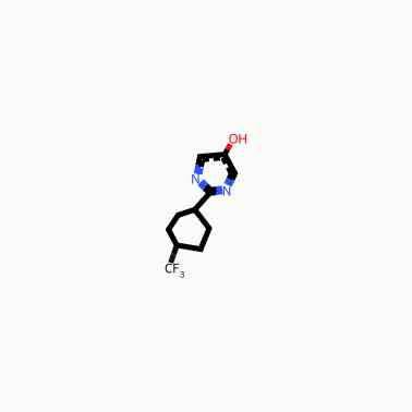 Oc1cnc(C2CCC(C(F)(F)F)CC2)nc1